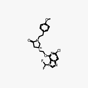 COc1ccc(CCN2C[C@H](CCOc3nc(Cl)cc4ncn(C(F)F)c34)CC2=O)cc1